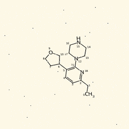 CCc1ccc(C2CCOC2)c(N2CCNCC2)n1